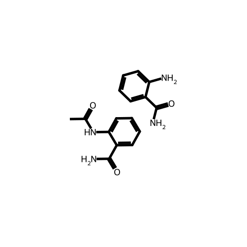 CC(=O)Nc1ccccc1C(N)=O.NC(=O)c1ccccc1N